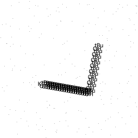 CC(C)(C)O.CC(C)(C)O.CC(C)(C)O.CC(C)(C)O.CC(C)(C)O.CC(C)(C)O.CC(C)(C)O.CC(C)(C)O.CC(C)(C)O.CC(C)(C)O.CC(C)(C)O.CC(C)(C)O.CC(C)(C)O.CC(C)(C)O.CC(C)(C)O.CC(C)(C)O.CC(C)(C)O.CC(C)(C)O.CC(C)(C)O.CC(C)(C)O.CC(C)(C)O.CC(C)(C)O.CC(C)(C)O.CC(C)(C)O.CC(C)(C)O.CC(C)(C)O.CC(C)(C)O.CC(C)(C)O.CC(C)(C)[O-].[K+]